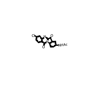 CC(=O)Nc1ccc2c(c1)C(=O)c1nc3cc(Cl)ccc3c(=O)n1-2